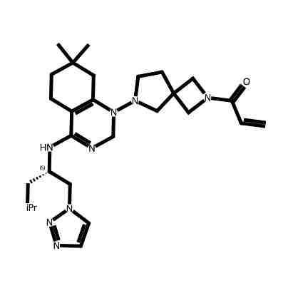 C=CC(=O)N1CC2(CCN(N3CN=C(N[C@@H](CC(C)C)Cn4ccnn4)C4=C3CC(C)(C)CC4)C2)C1